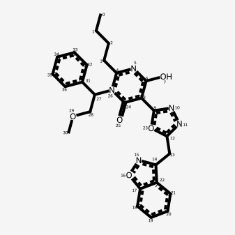 CCCCc1nc(O)c(-c2nnc(Cc3noc4ccccc34)o2)c(=O)n1C(COC)c1ccccc1